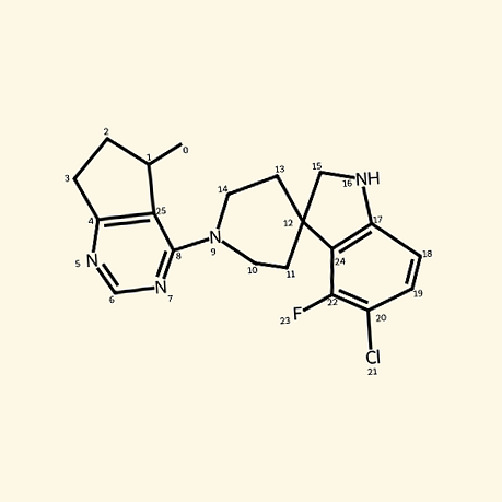 CC1CCc2ncnc(N3CCC4(CC3)CNc3ccc(Cl)c(F)c34)c21